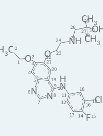 CCOc1cc2ncnc(Nc3ccc(F)c(Cl)c3)c2cc1OCCNCC(C)(C)O